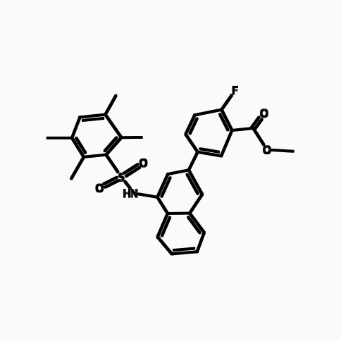 COC(=O)c1cc(-c2cc(NS(=O)(=O)c3c(C)c(C)cc(C)c3C)c3ccccc3c2)ccc1F